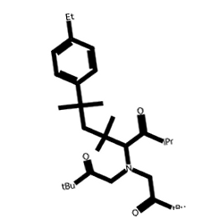 CCc1ccc(C(C)(C)CC(C)(C)C(C(=O)C(C)C)N(CC(=O)C(C)(C)C)CC(=O)C(C)(C)C)cc1